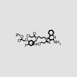 COCCc1nc2c(N)nc3ccccc3c2n1CCCN(Cc1ccc(F)c(OCC(=O)OC(C)C)c1)C(=O)CCl